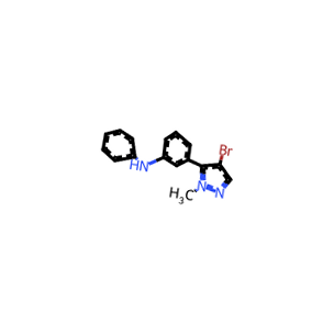 Cn1ncc(Br)c1-c1cccc(Nc2ccccc2)c1